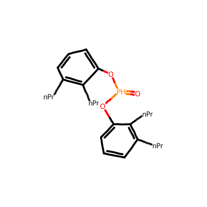 CCCc1cccc(O[PH](=O)Oc2cccc(CCC)c2CCC)c1CCC